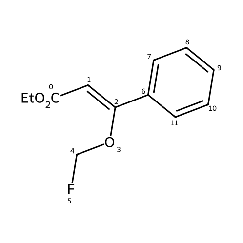 CCOC(=O)C=C(OCF)c1ccccc1